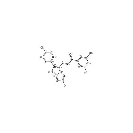 Cc1cn2c(/C=C/C(=O)c3cc(F)cc(F)c3)c(-c3ccc(Cl)cc3)nc2s1